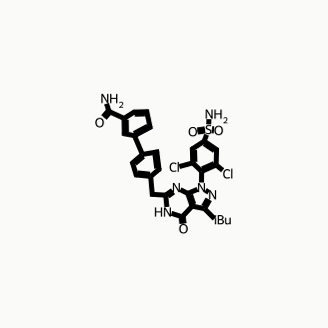 CCC(C)c1nn(-c2c(Cl)cc(S(N)(=O)=O)cc2Cl)c2nc(Cc3ccc(-c4cccc(C(N)=O)c4)cc3)[nH]c(=O)c12